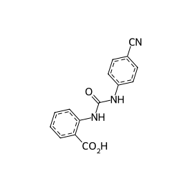 N#Cc1ccc(NC(=O)Nc2ccccc2C(=O)O)cc1